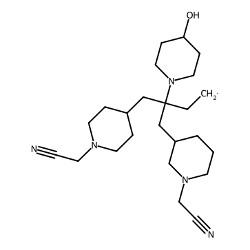 [CH2]CC(CC1CCN(CC#N)CC1)(CC1CCCN(CC#N)C1)N1CCC(O)CC1